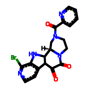 O=C1C(=O)N2CCN(C(=O)c3ccccn3)C[C@@H]2C2Nc3c(ccnc3Br)C12